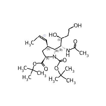 C/C=C\[C@@H]1C[C@H](C(=O)OC(C)(C)C)N(C(=O)OC(C)(C)C)[C@H]1[C@@H](NC(C)=O)[C@@H](O)CCO